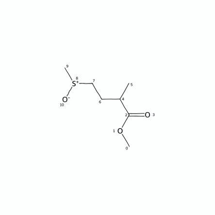 COC(=O)C(C)CC[S+](C)[O-]